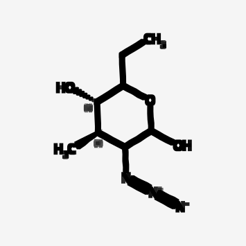 CCC1OC(O)C(N=[N+]=[N-])[C@@H](C)[C@@H]1O